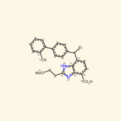 CCC(c1ccc(-c2ccccc2C#N)cc1)c1ccc(C(=O)O)c2nc(CCOC)[nH]c12